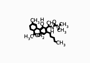 C=C(C)C1CCC(C)=CC1c1c(O)cc(CCCCC)c(C(C)NC(=O)N(C)C)c1O